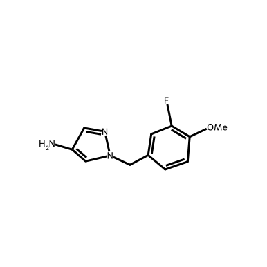 COc1ccc(Cn2cc(N)cn2)cc1F